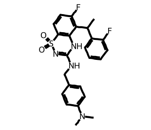 CC(c1ccccc1F)c1c(F)ccc2c1NC(NCc1ccc(N(C)C)cc1)=NS2(=O)=O